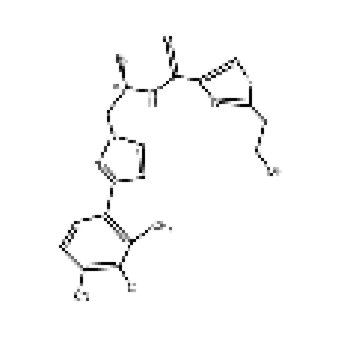 CC[C@H](Cn1ccc(-c2ccc(C#N)c(Cl)c2C)n1)NC(=O)c1csc(CCO)n1